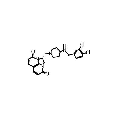 O=c1ccc2ccc(=O)n3c2n1C[C@H]3CN1CCC(NCc2ccc(Cl)c(Cl)c2)CC1